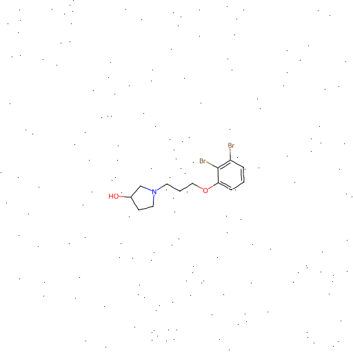 OC1CCN(CCCOc2cccc(Br)c2Br)C1